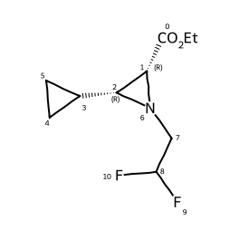 CCOC(=O)[C@H]1[C@@H](C2CC2)N1CC(F)F